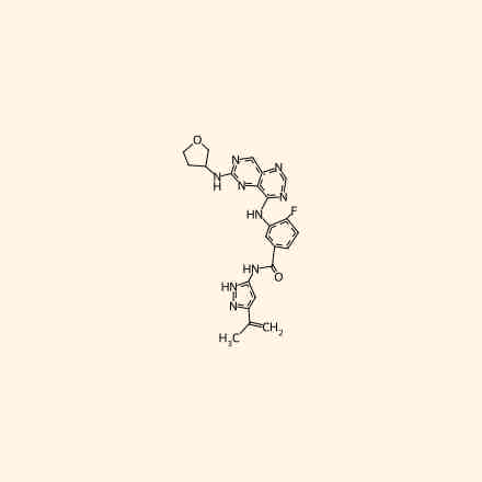 C=C(C)c1cc(NC(=O)c2ccc(F)c(Nc3ncnc4cnc(NC5CCOC5)nc34)c2)[nH]n1